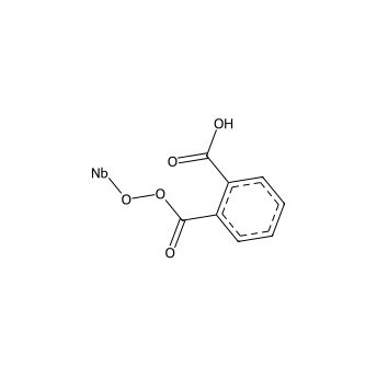 O=C(O)c1ccccc1C(=O)O[O][Nb]